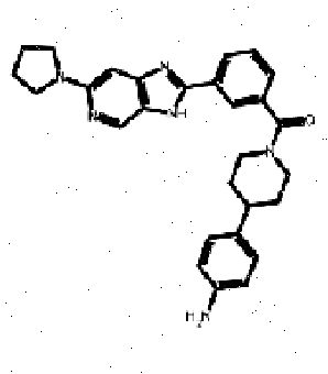 Nc1ccc(C2CCN(C(=O)c3cccc(-c4nc5cc(N6CCCC6)ncc5[nH]4)c3)CC2)cc1